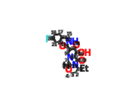 CC[C@@H]1C[C@H](C)O[C@H]2Cn3cc(C(=O)N[C@@H](C)c4ccc(F)cc4)c(=O)c(O)c3C(=O)N12